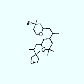 CC(CC1CC(C)(C(C)C)CCO1)C1CC(CC(C)C2(C)CCOC2)OC(C)(C)C1